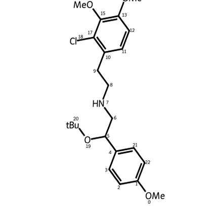 COc1ccc(C(CNCCc2ccc(OC)c(OC)c2Cl)OC(C)(C)C)cc1